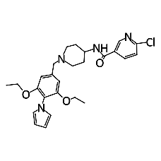 CCOc1cc(CN2CCC(NC(=O)c3ccc(Cl)nc3)CC2)cc(OCC)c1-n1cccc1